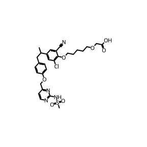 CC(Cc1ccc(OCc2ccnc(NS(C)(=O)=O)n2)cc1)c1cc(Cl)c(OCCCCCOCC(=O)O)c(C#N)c1